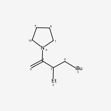 C=C(C(CC)CC(C)CC)N1CCCC1